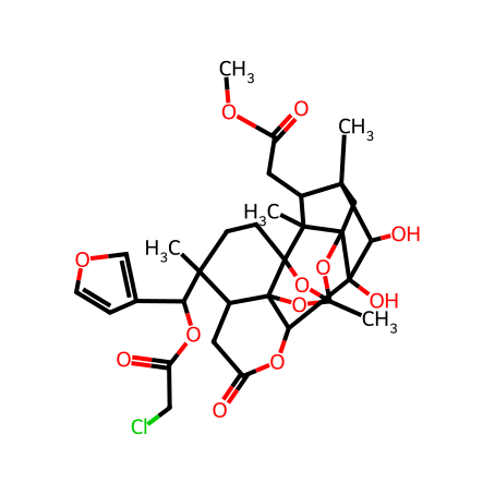 COC(=O)CC1C2(C)CC34OC5(C)OC67C(CC(=O)OC6C3(O)C2O)C(C)(C(OC(=O)CCl)c2ccoc2)CCC7(O5)C14C